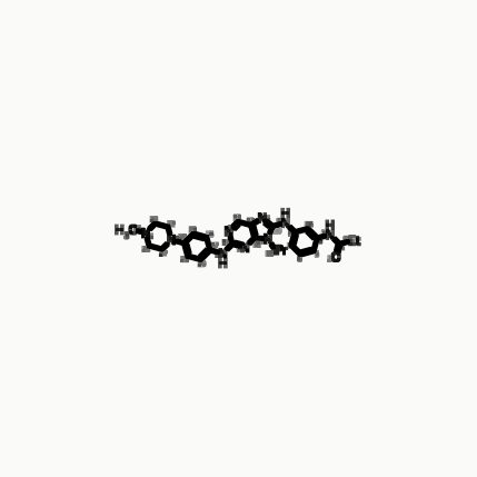 CCC(=O)Nc1cccc(Nc2nc3cnc(Nc4ccc(N5CCN(C)CC5)cc4)nc3n2C(C)C)c1